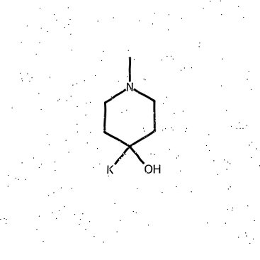 CN1CC[C](O)([K])CC1